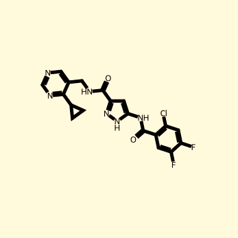 O=C(NCc1cncnc1C1CC1)c1cc(NC(=O)c2cc(F)c(F)cc2Cl)[nH]n1